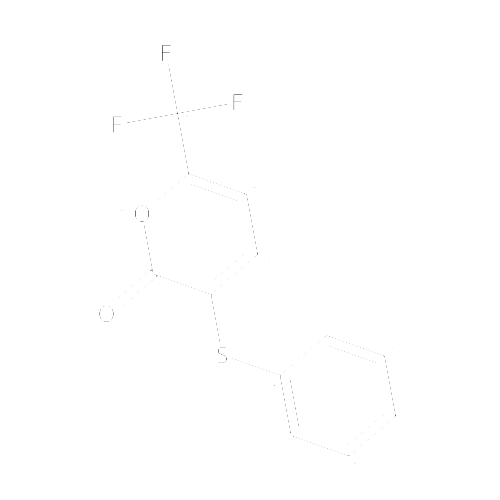 O=c1oc(C(F)(F)F)ccc1Sc1ccccc1